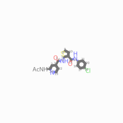 CC(=O)Nc1cc(C(=O)Nc2sccc2C(=O)Nc2ccc(Cl)cc2)ccn1